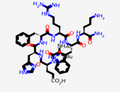 CCCC[C@H](NC(C)=O)C(=O)N[C@@H](CCC(=O)O)C(=O)N[C@@H](Cc1c[nH]cn1)C(=O)N[C@H](Cc1ccccc1)C(=O)N[C@@H](CCCNC(=N)N)C(=O)N[C@@H](Cc1c[nH]c2ccccc12)C(=O)N[C@@H](CCCN)C(N)=O